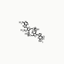 COC1C2CO[P@](=O)(S)OC3C(CO[P@](=O)(S)OC1C(n1cnc4c(=O)[nH]c(N)nc41)O2)OC(n1cnc2c(N)ncnc21)C3OC